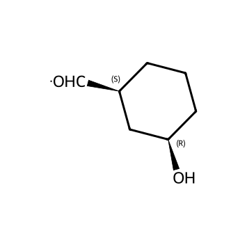 O=[C][C@H]1CCC[C@@H](O)C1